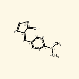 CN(C)c1ccc(C=C2N=CNC2=O)cc1